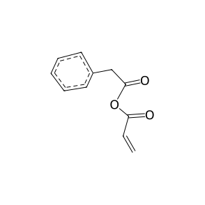 C=CC(=O)OC(=O)Cc1ccccc1